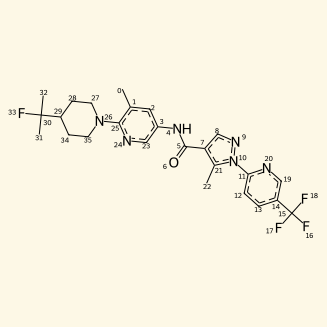 Cc1cc(NC(=O)c2cnn(-c3ccc(C(F)(F)F)cn3)c2C)cnc1N1CCC(C(C)(C)F)CC1